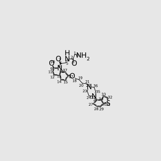 NCC(=O)NCC(=O)n1c(=O)ccc2ccc(OCCCCN3CCN(c4cccc5sccc45)CC3)cc21